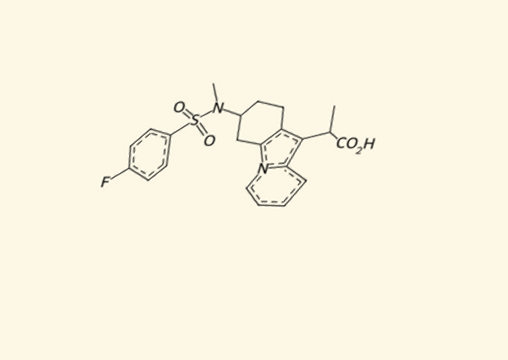 CC(C(=O)O)c1c2c(n3ccccc13)CC(N(C)S(=O)(=O)c1ccc(F)cc1)CC2